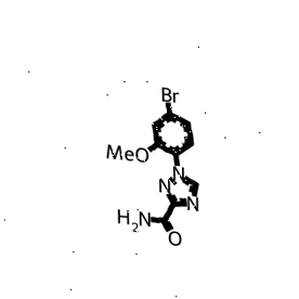 COc1cc(Br)ccc1-n1cnc(C(N)=O)n1